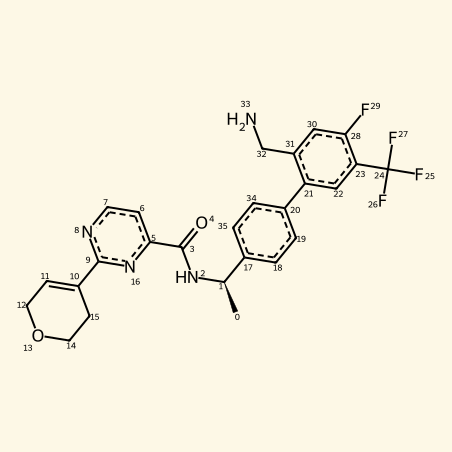 C[C@@H](NC(=O)c1ccnc(C2=CCOCC2)n1)c1ccc(-c2cc(C(F)(F)F)c(F)cc2CN)cc1